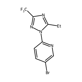 CCc1nc(C(F)(F)F)nn1-c1ccc(Br)cn1